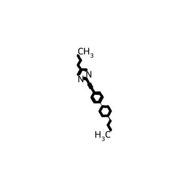 CCCCc1cnc(C#Cc2ccc([C@H]3CC[C@H](CCCC)CC3)cc2)nc1